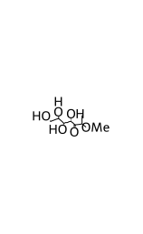 COC(C)C(=O)[C@@H](O)[C@H](O)[C@H](O)CO